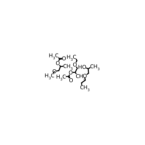 CCCOCC(C)O.CCOCC(C)OC(C)=O.COCC(C)OC(C)=O